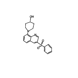 O=S(=O)(c1ccccc1)c1cnc2c(N3CCC(O)CC3)cccc2c1